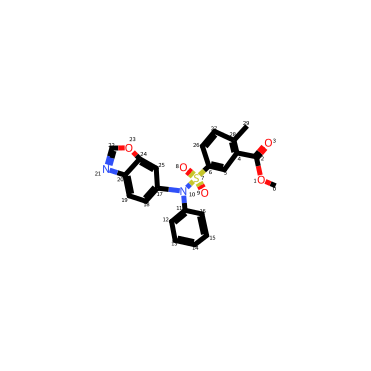 COC(=O)c1cc(S(=O)(=O)N(c2ccccc2)c2ccc3ncoc3c2)ccc1C